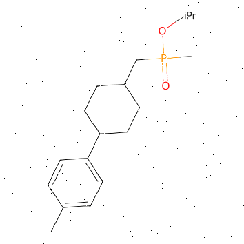 Cc1ccc(C2CCC(CP(C)(=O)OC(C)C)CC2)cc1